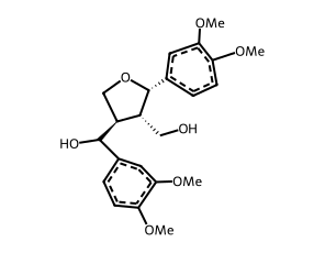 COc1ccc(C(O)[C@H]2CO[C@H](c3ccc(OC)c(OC)c3)[C@@H]2CO)cc1OC